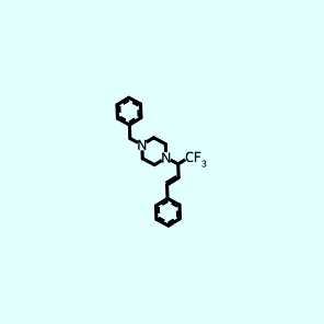 FC(F)(F)C(C=Cc1ccccc1)N1CCN(Cc2ccccc2)CC1